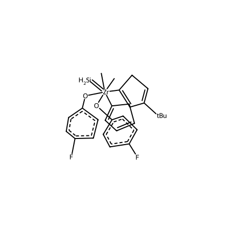 CC(C)(C)C1=CC[C]([Zr]([CH3])([CH3])(=[SiH2])([O]c2ccc(F)cc2)([O]c2ccc(F)cc2)[C]2=CC=CC2)=C1